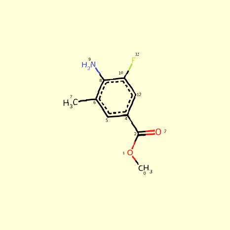 COC(=O)c1cc(C)c(N)c(F)c1